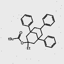 CCC1(OC(=O)C(C)(C)C)CC2(c3ccccc3)CC(c3ccccc3)CC(c3ccccc3)(C1)C2